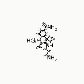 CCC1(CC)c2cc(C(N)=O)ccc2C[C@@H](OC)[C@@H]1NCCCN.Cl